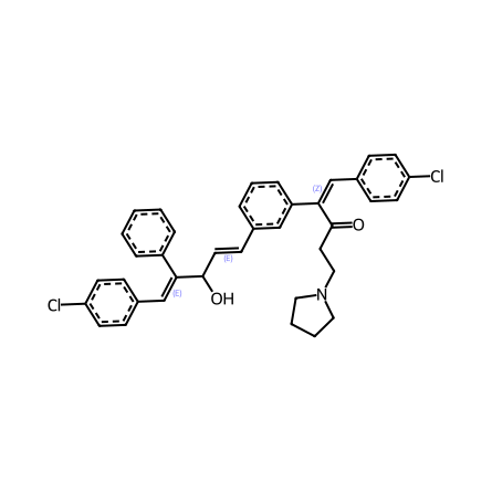 O=C(CCN1CCCC1)/C(=C\c1ccc(Cl)cc1)c1cccc(/C=C/C(O)/C(=C/c2ccc(Cl)cc2)c2ccccc2)c1